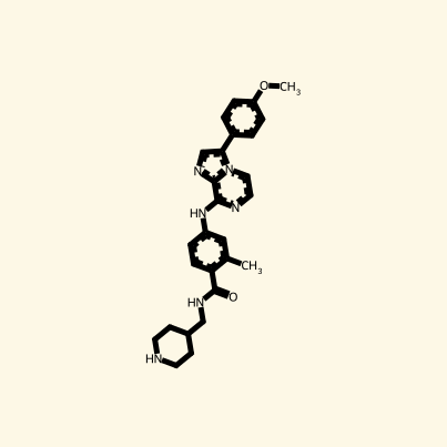 COc1ccc(-c2cnc3c(Nc4ccc(C(=O)NCC5CCNCC5)c(C)c4)nccn23)cc1